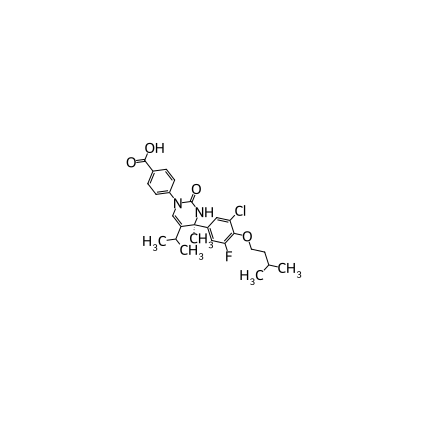 CC(C)CCOc1c(F)cc([C@]2(C)NC(=O)N(c3ccc(C(=O)O)cc3)C=C2C(C)C)cc1Cl